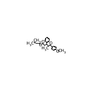 COc1ccc(C(=O)C(C)C(CC(=O)OCCC(C)C)c2ccccc2)cc1